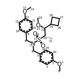 COc1ccc(CN(Cc2ccc(OC)cc2)S(=O)(=O)[C@@H](C)[C@@H](OC)C2CCC2)cc1